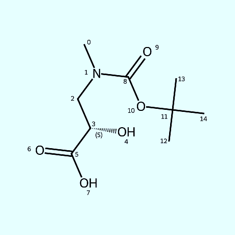 CN(C[C@H](O)C(=O)O)C(=O)OC(C)(C)C